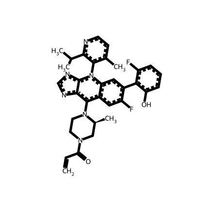 C=CC(=O)N1CCN(c2c3ncnc-3n(-c3c(C)ccnc3C(C)C)c3cc(-c4c(O)cccc4F)c(F)cc23)[C@@H](C)C1